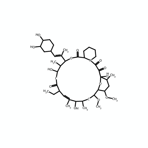 CCC1C=C(C)C(O)C(C)CC(OC)C2OC(O)(C(=O)C(=O)N3CCCCC3C(=O)OC(C(C)=CC3CCC(O)C(O)C3)C(C)C(O)CC1=O)C(C)CC2OC